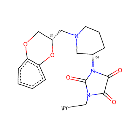 CC(C)CN1C(=O)C(=O)N([C@H]2CCCN(C[C@H]3COc4ccccc4O3)C2)C1=O